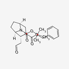 CC(C)(C)OC(=O)N1[C@H]2CC[C@@H]1[C@@H](CC=O)N(C(=O)OCc1ccccc1)C2